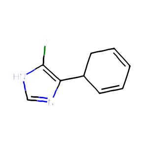 Brc1[nH]cnc1C1C=CC=CC1